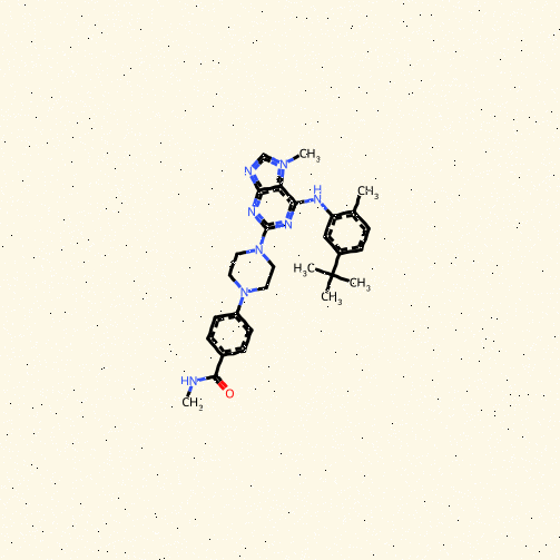 CNC(=O)c1ccc(N2CCN(c3nc(Nc4cc(C(C)(C)C)ccc4C)c4c(ncn4C)n3)CC2)cc1